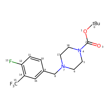 CC(C)(C)OC(=O)N1CCN(Cc2ccc(F)c(C(F)(F)F)c2)CC1